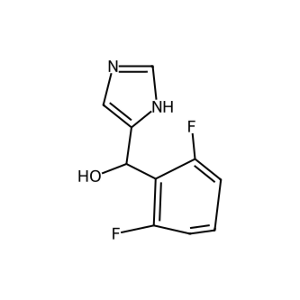 OC(c1cnc[nH]1)c1c(F)cccc1F